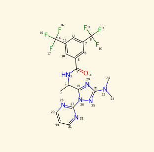 CC(NC(=O)c1cc(C(F)(F)F)cc(C(F)(F)F)c1)c1nc(N(C)C)nn1-c1ncccn1